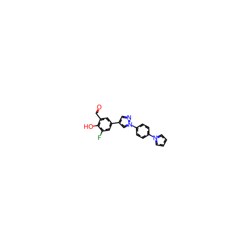 O=Cc1cc(-c2cnn(-c3ccc(-n4cccc4)cc3)c2)cc(F)c1O